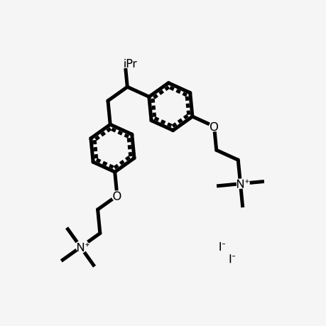 CC(C)C(Cc1ccc(OCC[N+](C)(C)C)cc1)c1ccc(OCC[N+](C)(C)C)cc1.[I-].[I-]